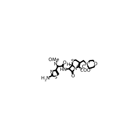 CO/N=C(\C(=O)NC1C(=O)N2C(C(=O)[O-])=C(C[N+]3(C)CCOCC3)CS[C@@H]12)c1csc(N)n1